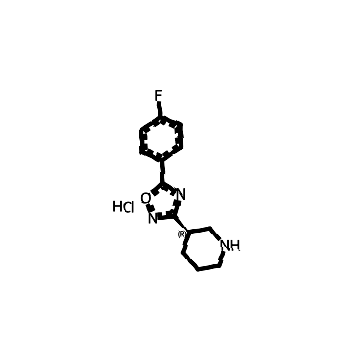 Cl.Fc1ccc(-c2nc([C@@H]3CCCNC3)no2)cc1